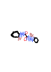 O=C(NNc1ccccc1Br)C(=O)NNc1ccccc1Br